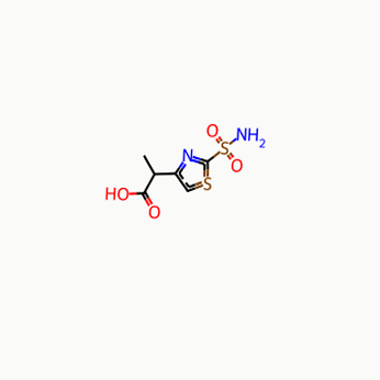 CC(C(=O)O)c1csc(S(N)(=O)=O)n1